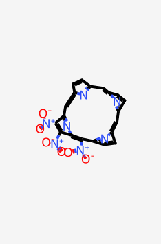 O=[N+]([O-])C1=C2N=C(C=C3C=CC(=N3)C=C3C=CC(=N3)C=C3C=CC1=N3)C([N+](=O)[O-])=C2[N+](=O)[O-]